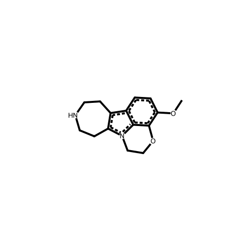 COc1ccc2c3c(n4c2c1OCC4)CCNCC3